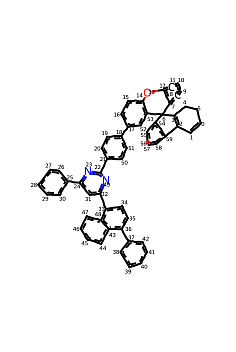 C1=CC2=C(CC1)C1(c3ccccc3Oc3ccc(-c4ccc(-c5nc(-c6ccccc6)cc(-c6ccc(-c7ccccc7)c7ccccc67)n5)cc4)cc31)c1ccccc12